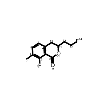 Cc1ccc2c(c1F)C(=O)OC(CCF)C2